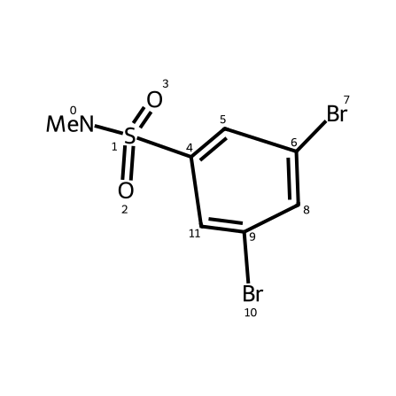 CNS(=O)(=O)c1cc(Br)cc(Br)c1